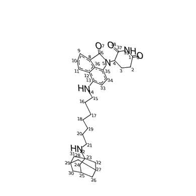 O=C1CCC(N2C(=O)c3cccc4c(NCCCCCCCNC56CC7CC(CC(C7)C5)C6)ccc2c34)C(=O)N1